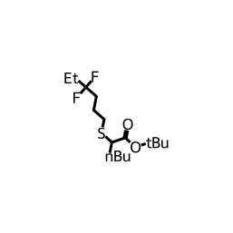 CCCCC(SCCCC(F)(F)CC)C(=O)OC(C)(C)C